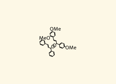 COc1ccc(C(=O)C=Cc2ccc(OC)cc2OC)cc1.O=C(C=Cc1ccccc1)c1ccccc1